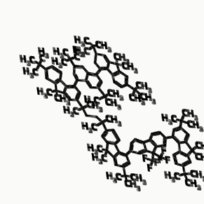 CC(C)(C)c1ccc2c(c1)C(C)(C)C1=CC(C(C)(C)C)CC(c3cc(C(C)(C)C)cc4c(-c5cc(C(C)(C)CCC(C)(C)c6ccc7c(c6)C(C)(C)c6cc(C(C)(C)C)cc(-c8ccc9c(c8)C(C(F)(F)F)(C(F)(F)F)c8cc(-c%10cc(C(C)(C)C)cc%11c%10-c%10ccc(C(C)(C)C)cc%10C%11(C)C)ccc8-9)c6-7)cc6c5-c5ccc(C(C)(C)C)cc5C6(C)C)cc(C(C)(C)C)cc34)=C12